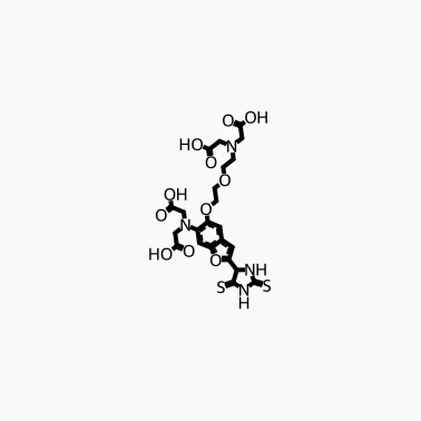 O=C(O)CN(CCOCCOc1cc2cc(C3NC(=S)NC3=S)oc2cc1N(CC(=O)O)CC(=O)O)CC(=O)O